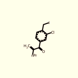 C=C(CCC)C(=O)c1ccc(CI)c(Cl)c1